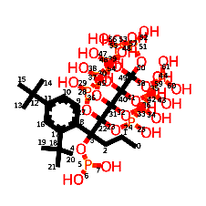 CCCC(OP(O)O)(c1ccc(C(C)(C)C)cc1C(C)(C)C)C(OP(O)O)(OP(O)O)C(OP(O)O)(OP(O)O)C(OP(O)O)(OP(O)O)C(OP(O)O)(OP(O)O)OP(O)O